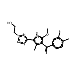 COc1[nH]c(-c2nnn(CCO)n2)c(C)c1C(=O)c1ccc(C)c(Br)c1